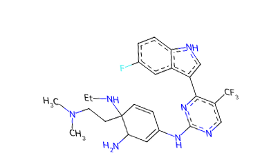 CCNC1(CCN(C)C)C=CC(Nc2ncc(C(F)(F)F)c(-c3c[nH]c4ccc(F)cc34)n2)=CC1N